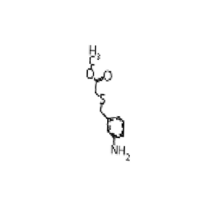 COC(=O)CSCc1cccc(N)c1